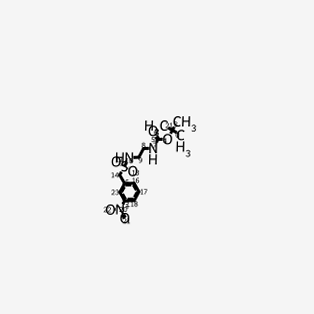 CC(C)(C)OC(=O)NCCNS(=O)(=O)Cc1cccc([N+](=O)[O-])c1